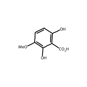 COc1ccc(O)c(C(=O)O)c1O